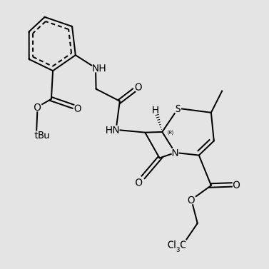 CC1C=C(C(=O)OCC(Cl)(Cl)Cl)N2C(=O)C(NC(=O)CNc3ccccc3C(=O)OC(C)(C)C)[C@H]2S1